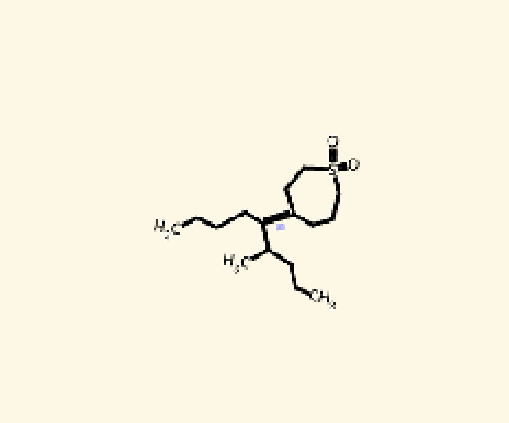 CCCC/C(=C1/CCCS(=O)(=O)CC1)C(C)CCC